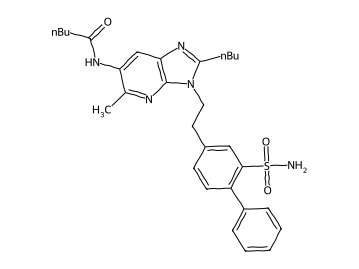 CCCCC(=O)Nc1cc2nc(CCCC)n(CCc3ccc(-c4ccccc4)c(S(N)(=O)=O)c3)c2nc1C